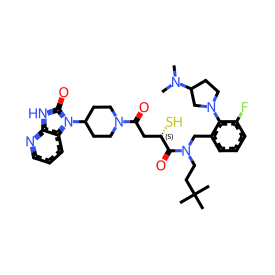 CN(C)C1CCN(c2c(F)cccc2CN(CCC(C)(C)C)C(=O)[C@@H](S)CC(=O)N2CCC(n3c(=O)[nH]c4ncccc43)CC2)C1